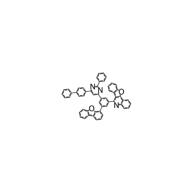 c1ccc(-c2ccc(-c3cc(-c4cc(-c5cccc6c5oc5ccccc56)cc(-c5nc6ccccc6c6oc7ccccc7c56)c4)nc(-c4ccccc4)n3)cc2)cc1